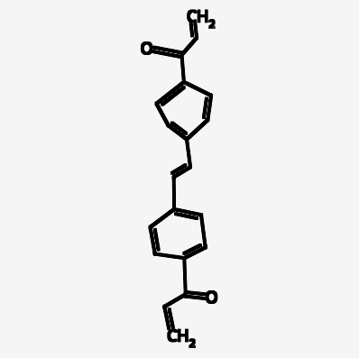 C=CC(=O)c1ccc(C=Cc2ccc(C(=O)C=C)cc2)cc1